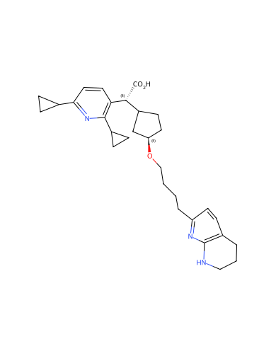 O=C(O)[C@@H](c1ccc(C2CC2)nc1C1CC1)C1CC[C@@H](OCCCCc2ccc3c(n2)NCCC3)C1